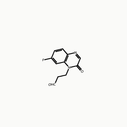 O=CCCn1c(=O)cnc2ccc(F)cc21